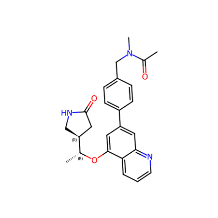 CC(=O)N(C)Cc1ccc(-c2cc(O[C@H](C)[C@H]3CNC(=O)C3)c3cccnc3c2)cc1